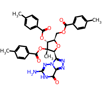 Cc1ccc(C(=O)OC[C@H]2O[C@@H](c3nnc4c(=O)[nH]c(N)nn34)[C@](C)(OC(=O)c3ccc(C)cc3)[C@@H]2OC(=O)c2ccc(C)cc2)cc1